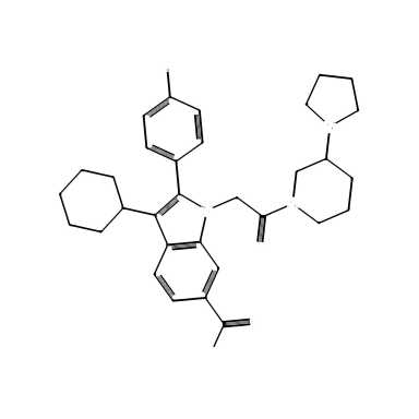 O=C(O)c1ccc2c(C3CCCCC3)c(-c3ccc(Cl)cc3)n(CC(=O)N3CCCC(N4CCCC4)C3)c2c1